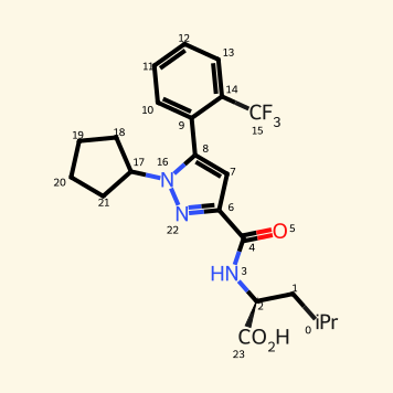 CC(C)C[C@H](NC(=O)c1cc(-c2ccccc2C(F)(F)F)n(C2CCCC2)n1)C(=O)O